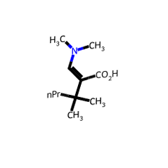 CCCC(C)(C)C(=CN(C)C)C(=O)O